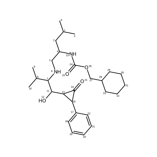 CC(C)CC(CNC(C(C)C)C(O)C1C(=O)C1c1ccccc1)NC(=O)OCC1CCCCC1